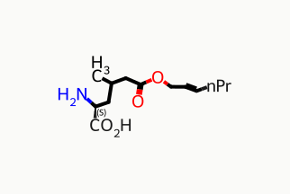 CCCC=CCOC(=O)CC(C)C[C@H](N)C(=O)O